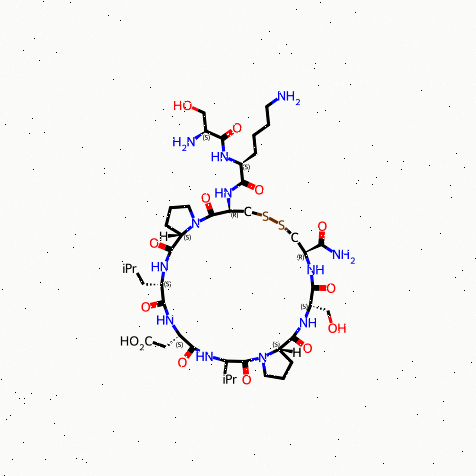 CC(C)C[C@@H]1NC(=O)[C@@H]2CCCN2C(=O)[C@@H](NC(=O)[C@H](CCCCN)NC(=O)[C@@H](N)CO)CSSC[C@@H](C(N)=O)NC(=O)[C@H](CO)NC(=O)[C@@H]2CCCN2C(=O)C(C(C)C)NC(=O)[C@H](CC(=O)O)NC1=O